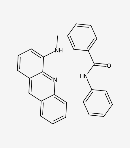 CNc1cccc2cc3ccccc3nc12.O=C(Nc1ccccc1)c1ccccc1